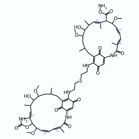 COC1/C=C\C=C(/C)C(=O)NC2=CC(=O)C(NCCSCCNC3=C4CC(C)CC(OC)C(O)C(C)/C=C(\C)C(C(=O)ON)C(OC)/C=C\C=C(/C)C(=O)NC(=CC3=O)C4=O)=C(CC(C)CC(OC)C(O)C(C)/C=C(\C)C1OC(N)=O)C2=O